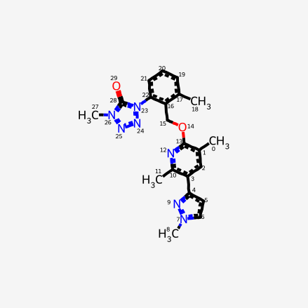 Cc1cc(-c2ccn(C)n2)c(C)nc1OCc1c(C)cccc1-n1nnn(C)c1=O